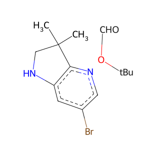 CC(C)(C)OC=O.CC1(C)CNc2cc(Br)cnc21